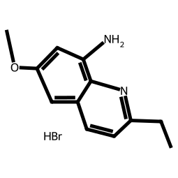 Br.CCc1ccc2cc(OC)cc(N)c2n1